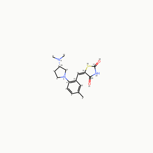 Cc1ccc(N2CC[C@H](N(C)C)C2)c(C=C2SC(=O)NC2=O)c1